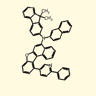 CC1(C)c2ccccc2-c2ccc(N(c3ccc4ccccc4c3)c3cc4oc5cccc(-c6ccc(-c7ccccc7)nc6)c5c4c4ccccc34)cc21